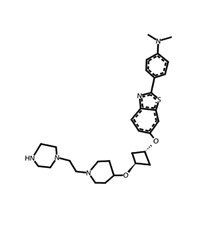 CN(C)c1ccc(-c2nc3ccc(O[C@H]4C[C@H](OC5CCN(CCN6CCNCC6)CC5)C4)cc3s2)cc1